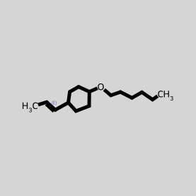 C/C=C/C1CCC(OCCCCCC)CC1